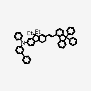 CCC1(CC)C2=C(CCC(/C=C/c3cccc4c3-c3ccccc3C4(c3ccccc3)c3ccccc3)=C2)c2ccc(N(c3ccccc3)c3cccc(-c4ccccc4)c3)cc21